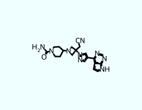 N#CCC1(n2cc(-c3ncnc4[nH]ccc34)cn2)CN(C2CCN(C(N)=O)CC2)C1